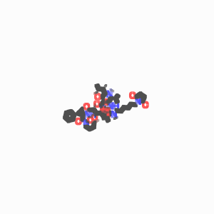 CC[C@H](C)[C@@H]([C@@H](CC(=O)N1CCCC1[C@H](OC)[C@@H](C)C(=O)N[C@@]1(C(=O)N2CCCCO2)C[C@@H]1c1ccccc1)OC)N(C)[C@H](C(=O)NC(=O)[C@H](C(C)C)N(C)CCCCCCN1C(=O)C=CC1=O)C(C)C